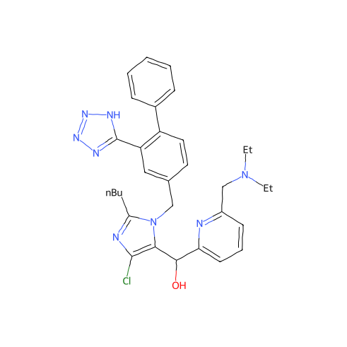 CCCCc1nc(Cl)c(C(O)c2cccc(CN(CC)CC)n2)n1Cc1ccc(-c2ccccc2)c(-c2nnn[nH]2)c1